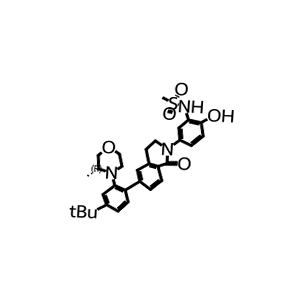 C[C@@H]1COCCN1c1cc(C(C)(C)C)ccc1-c1ccc2c(c1)CCN(c1ccc(O)c(NS(C)(=O)=O)c1)C2=O